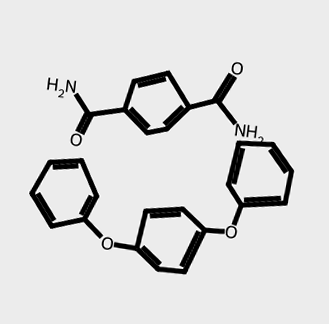 NC(=O)c1ccc(C(N)=O)cc1.c1ccc(Oc2ccc(Oc3ccccc3)cc2)cc1